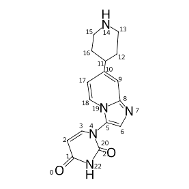 O=c1ccn(-c2cnc3cc(C4CCNCC4)ccn23)c(=O)[nH]1